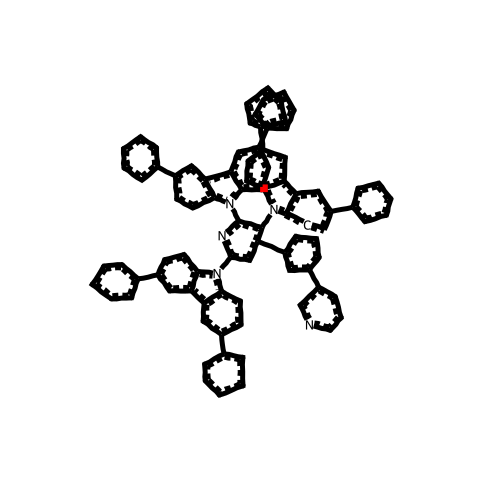 c1ccc(-c2ccc3c(c2)c2cc(-c4ccccc4)ccc2n3-c2cc(-c3cccc(-c4cccnc4)c3)c(-n3c4ccc(-c5ccccc5)cc4c4cc(-c5ccccc5)ccc43)c(-n3c4ccc(-c5ccccc5)cc4c4cc(-c5ccccc5)ccc43)n2)cc1